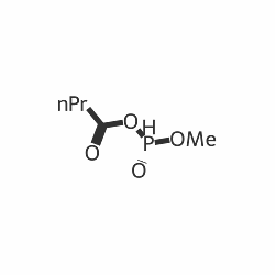 CCCC(=O)O[PH](=O)OC